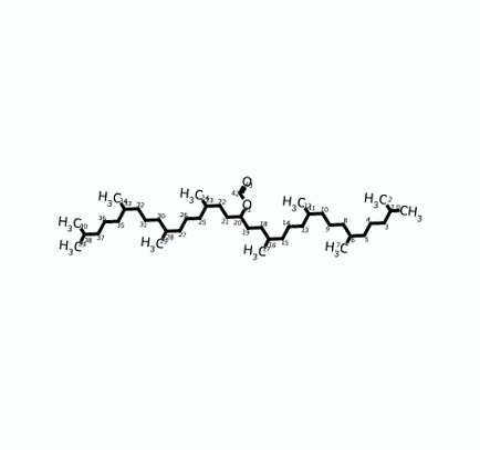 CC(C)CCCC(C)CCCC(C)CCCC(C)CCC(CCC(C)CCCC(C)CCCC(C)CCCC(C)C)OC=O